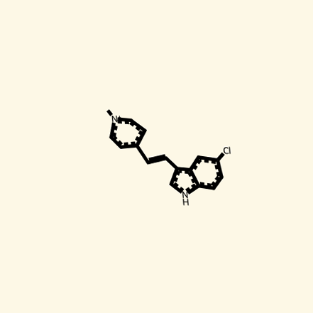 C[n+]1ccc(/C=C/c2c[nH]c3ccc(Cl)cc23)cc1